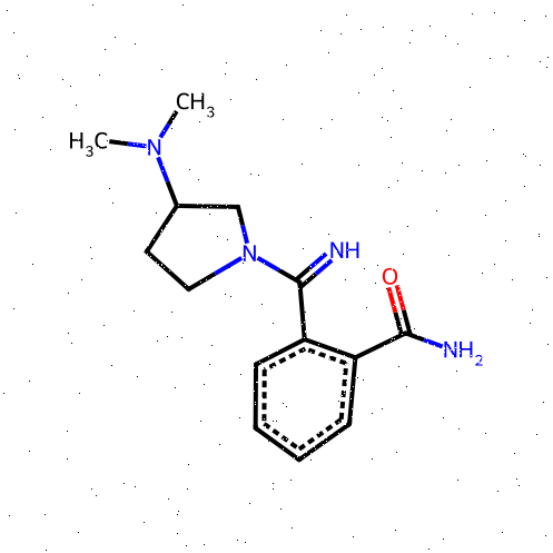 CN(C)C1CCN(C(=N)c2ccccc2C(N)=O)C1